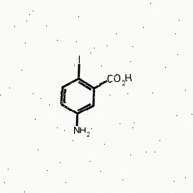 Nc1ccc(I)c(C(=O)O)c1